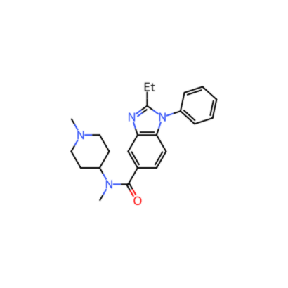 CCc1nc2cc(C(=O)N(C)C3CCN(C)CC3)ccc2n1-c1ccccc1